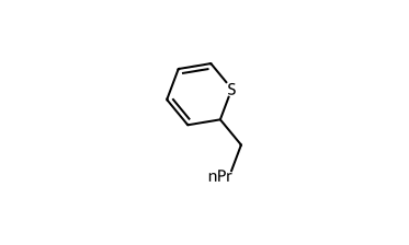 CCCCC1C=CC=CS1